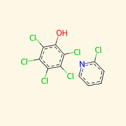 Clc1ccccn1.Oc1c(Cl)c(Cl)c(Cl)c(Cl)c1Cl